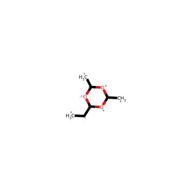 CCC1OC(C)OC(C)O1